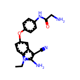 CCn1c(N)c(C#N)c2cc(Oc3ccc(NC(=O)CN)cc3)ccc21